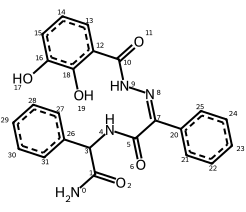 NC(=O)C(NC(=O)C(=NNC(=O)c1cccc(O)c1O)c1ccccc1)c1ccccc1